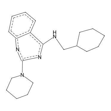 c1ccc2c(NCC3CCCCC3)nc(N3CCCCC3)nc2c1